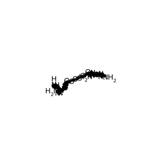 NCc1cnc(N2CCN(c3ncc(C(=O)NCCOCCOCCOCCOCCC(=O)N4CCc5cc(Cn6nc(-c7cnc8[nH]ccc8c7)c7c(N)ncnc76)ccc5C4)c(N)n3)CC2)nc1